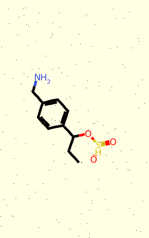 [CH2]CC(O[SH](=O)=O)c1ccc(CN)cc1